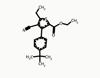 CCOC(=O)c1sc(CC)c(C#N)c1-c1ccc(C(C)(C)C)cc1